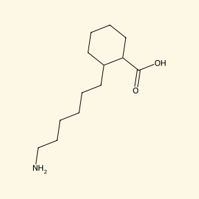 NCCCCCCC1CCCCC1C(=O)O